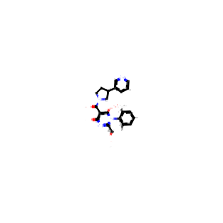 CCOCc1nc(=O)c(C(=O)N2CCC(c3cccnc3)C2)c(O)n1-c1c(OC)cccc1OC